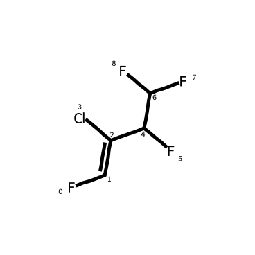 FC=C(Cl)C(F)C(F)F